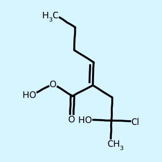 CCCC=C(CC(C)(O)Cl)C(=O)OO